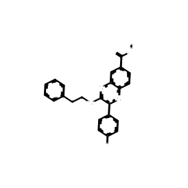 COC(=O)c1ccc2nc(-c3ccc(F)cc3)c(NCCc3ccccc3)nc2c1